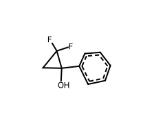 OC1(c2ccccc2)CC1(F)F